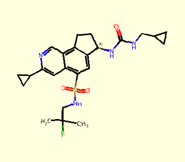 CC(C)(F)CNS(=O)(=O)c1cc2c(c3cnc(C4CC4)cc13)CC[C@H]2NC(=O)NCC1CC1